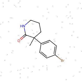 CC1(c2ccc(Br)cc2)CCCNC1=O